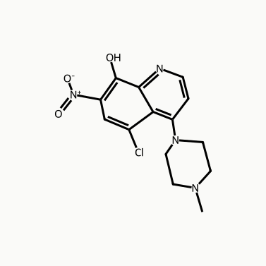 CN1CCN(c2ccnc3c(O)c([N+](=O)[O-])cc(Cl)c23)CC1